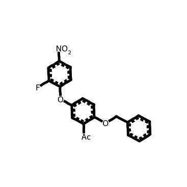 CC(=O)c1cc(Oc2ccc([N+](=O)[O-])cc2F)ccc1OCc1ccccc1